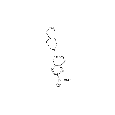 CCN1CCN(C(=O)Cc2ccc([N+](=O)[O-])cc2F)CC1